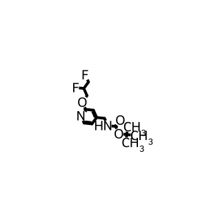 CC(C)(C)OC(=O)NCc1ccnc(OCC(F)CF)c1